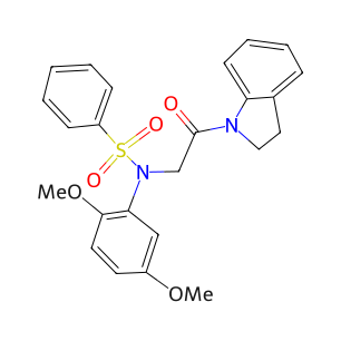 COc1ccc(OC)c(N(CC(=O)N2CCc3ccccc32)S(=O)(=O)c2ccccc2)c1